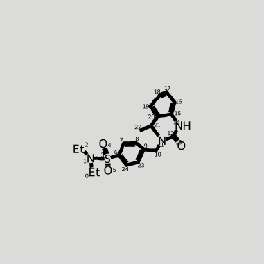 CCN(CC)S(=O)(=O)c1ccc(CN2C(=O)Nc3ccccc3C2C)cc1